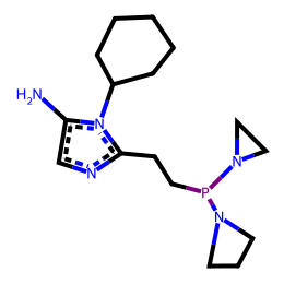 Nc1cnc(CCP(N2CCC2)N2CC2)n1C1CCCCC1